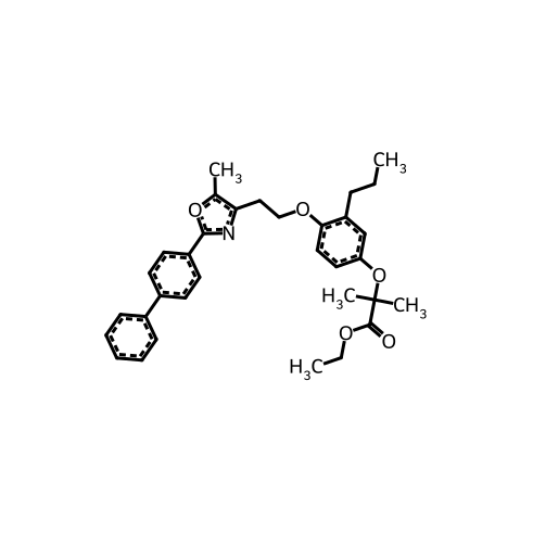 CCCc1cc(OC(C)(C)C(=O)OCC)ccc1OCCc1nc(-c2ccc(-c3ccccc3)cc2)oc1C